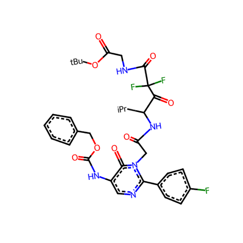 CC(C)C(NC(=O)Cn1c(-c2ccc(F)cc2)ncc(NC(=O)OCc2ccccc2)c1=O)C(=O)C(F)(F)C(=O)NCC(=O)OC(C)(C)C